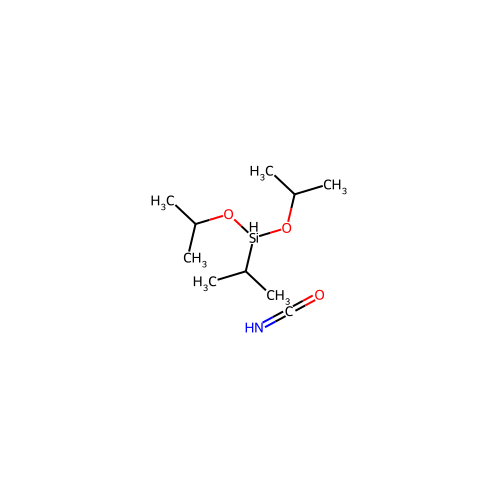 CC(C)O[SiH](OC(C)C)C(C)C.N=C=O